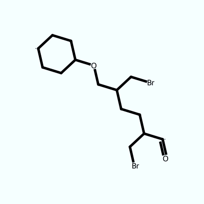 O=[C]C(CBr)CCC(CBr)COC1CC[CH]CC1